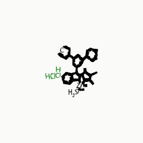 CC1=C(C)C(C)[C]([Zr]([CH3])([CH3])(=[SiH2])[CH]2C=C(c3cc(-c4ccccc4)cc(-c4ccccc4)c3)c3ccccc32)=C1C.Cl.Cl